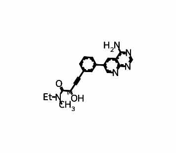 CCN(C)C(=O)[C@H](O)C#Cc1cccc(-c2cnc3ncnc(N)c3c2)c1